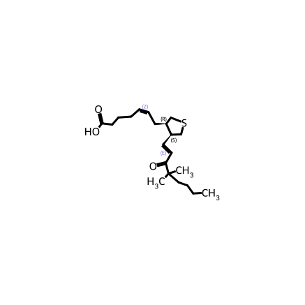 CCCCC(C)(C)C(=O)/C=C/[C@@H]1CSC[C@@H]1C/C=C\CCCC(=O)O